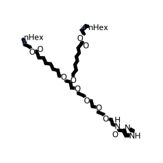 CCCCCC/C=C\COC(=O)CCCCCCCOCC(COCCOCCOCCOCCNC(=O)c1c[nH]cn1)OCCCCCCCC(=O)OC/C=C\CCCCCC